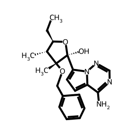 CC[C@H]1O[C@@](O)(c2ccc3c(N)ncnn23)[C@](C)(OCc2ccccc2)[C@@H]1C